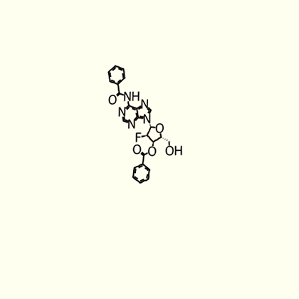 O=C(Nc1ncnc2c1ncn2[C@@H]1O[C@H](CO)[C@@H](OC(=O)c2ccccc2)[C@H]1F)c1ccccc1